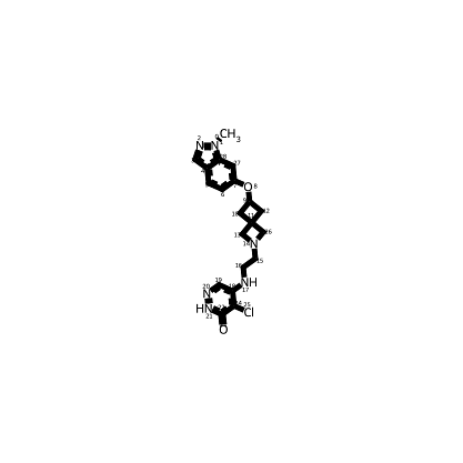 Cn1ncc2ccc(OC3CC4(C3)CN(CCNc3cn[nH]c(=O)c3Cl)C4)cc21